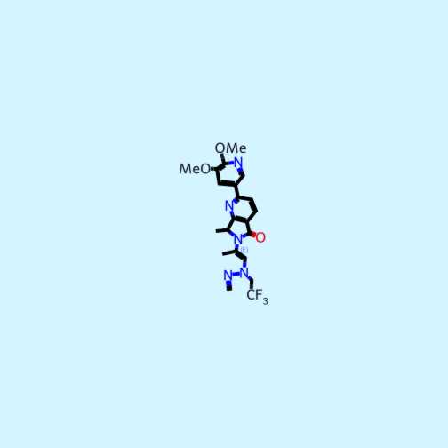 C=NN(/C=C(\C)N1C(=O)c2ccc(-c3cnc(OC)c(OC)c3)nc2C1C)CC(F)(F)F